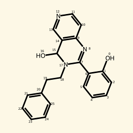 Oc1ccccc1C1=Nc2ccncc2C(O)N1CCc1ccccc1